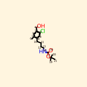 Cc1cc(CO)c(Cl)cc1CCCCNC(=O)OC(C)(C)C